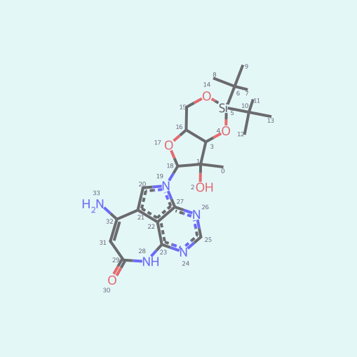 CC1(O)C2O[Si](C(C)(C)C)(C(C)(C)C)OCC2OC1n1cc2c3c(ncnc31)NC(=O)C=C2N